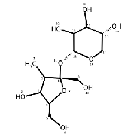 CC1C(O)[C@H](CO)O[C@@]1(CO)O[C@H]1OC[C@@H](O)C(O)C1O